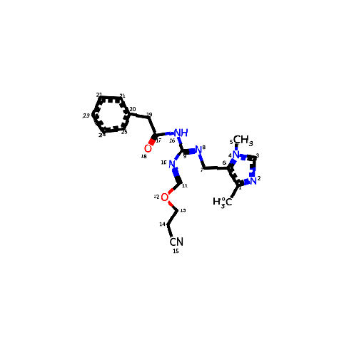 Cc1ncn(C)c1C/N=C(\N=C\OCCC#N)NC(=O)Cc1ccccc1